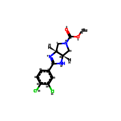 CC(C)(C)OC(=O)N1C[C@@H]2N=C(c3ccc(Cl)c(Cl)c3)N[C@@H]2C1